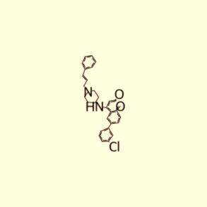 O=c1cc(NC2CCN(C/C=C/c3ccccc3)CC2)c2cc(-c3cccc(Cl)c3)ccc2o1